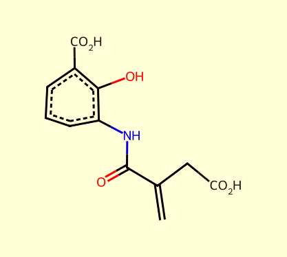 C=C(CC(=O)O)C(=O)Nc1cccc(C(=O)O)c1O